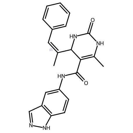 CC1=C(C(=O)Nc2ccc3[nH]ncc3c2)C(/C(C)=C\c2ccccc2)NC(=O)N1